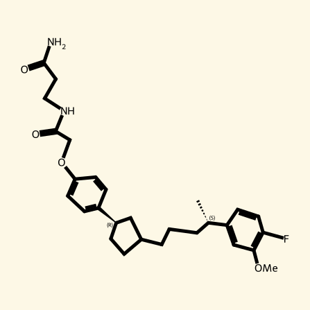 COc1cc([C@@H](C)CCCC2CC[C@@H](c3ccc(OCC(=O)NCCC(N)=O)cc3)C2)ccc1F